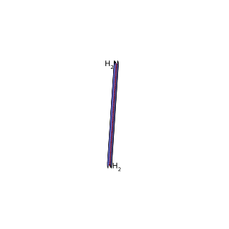 N/N=N/N=N/N=N/N=N/N=N/N=N/N=N/N=N/N=N/N=N/N=N/N=N/N=N/N=N/N=N/N=N/N=N/N=N/N=N/N=N/N=N/N=N/N=N/N=N/N=N/N=N/N=N/N=N/N=N/N=N/N=N/N=N/N=N/N=N/N=N/N=N/N=N/N=N/N=N/N=N/N=N/N=N/N=N/N=N/N=N/N=N/N=N/N=N/N=N/N=N/N=N/N=N/N=N/N=N/N=N/N=N/N=N/N=N/N=N/N=N/N=N/N=N/N